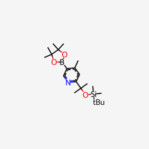 Cc1cc(C(C)(C)O[Si](C)(C)C(C)(C)C)ncc1B1OC(C)(C)C(C)(C)O1